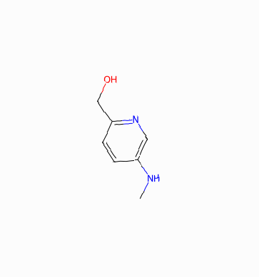 CNc1ccc(CO)nc1